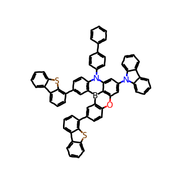 c1ccc(-c2ccc(N3c4ccc(-c5cccc6c5sc5ccccc56)cc4B4c5cc(-c6cccc7c6sc6ccccc67)ccc5Oc5cc(-n6c7ccccc7c7ccccc76)cc3c54)cc2)cc1